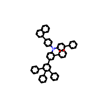 c1ccc(-c2ccc(N(c3ccc(-c4cccc5ccccc45)cc3)c3ccc(-c4cc(-c5ccccc5)c(-c5ccccc5)c(-c5ccccc5)c4)cc3-c3ccccc3)cc2)cc1